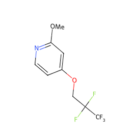 COc1cc(OCC(F)(F)C(F)(F)F)ccn1